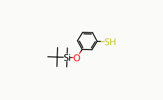 CC(C)(C)[Si](C)(C)Oc1cccc(S)c1